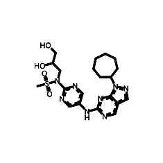 CS(=O)(=O)N(CC(O)CO)c1ncc(Nc2ncc3cnn(C4CCCCCC4)c3n2)cn1